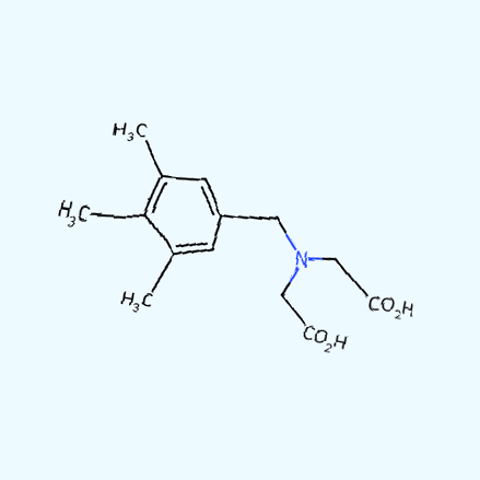 Cc1cc(CN(CC(=O)O)CC(=O)O)cc(C)c1C